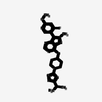 COc1cc(F)c(-c2c3ncnc(OC4CCN(c5nc(C(C)C)no5)CC4)c3nn2C)cn1